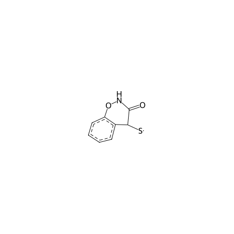 O=C1NOc2ccccc2C1[S]